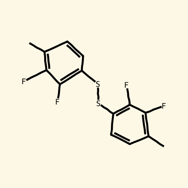 Cc1ccc(SSc2ccc(C)c(F)c2F)c(F)c1F